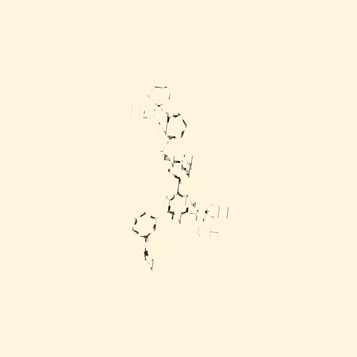 CN(C)c1nc(-c2cccc(C#N)c2)cc(-c2cn(Cc3cccc(C4(O)CCCC4)n3)nn2)n1